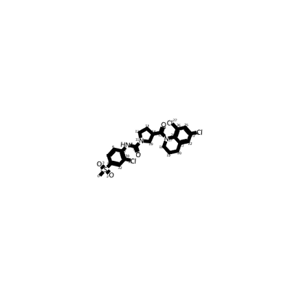 CS(=O)(=O)c1ccc(NC(=O)N2CCC(C(=O)N3CCCc4cc(Cl)cc(Cl)c43)C2)c(Cl)c1